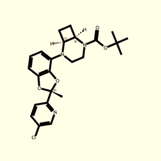 CC(C)(C)OC(=O)N1CCN(c2cccc3c2O[C@](C)(c2ccc(Cl)cn2)O3)[C@H]2CC[C@H]21